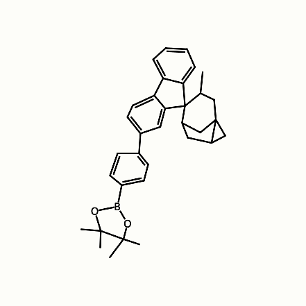 CC1CC23CC2CC(C3)C12c1ccccc1-c1ccc(-c3ccc(B4OC(C)(C)C(C)(C)O4)cc3)cc12